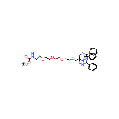 CC(C)(C)OC(=O)NCCOCCOCCOCCOCC12CN3C(c4ccccc4)N(C1)C(c1ccccc1)N(C2)C3c1ccccc1